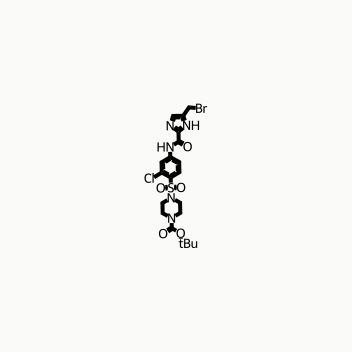 CC(C)(C)OC(=O)N1CCN(S(=O)(=O)c2ccc(NC(=O)c3ncc(CBr)[nH]3)cc2Cl)CC1